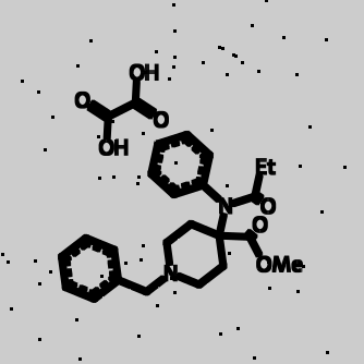 CCC(=O)N(c1ccccc1)C1(C(=O)OC)CCN(Cc2ccccc2)CC1.O=C(O)C(=O)O